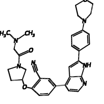 CN(C)CC(=O)N1CCC(Oc2ccc(-c3ccnc4[nH]c(-c5ccc(N6CCOCC6)cc5)cc34)cc2C#N)C1